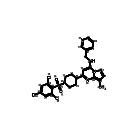 Bc1cnn2c(NCc3cccnc3)cc(C3CCN(S(=O)(=O)c4c(Cl)cc(Cl)cc4Cl)CC3)nc12